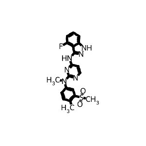 Cc1ccc(N(C)c2nccc(Nc3n[nH]c4cccc(F)c34)n2)cc1S(C)(=O)=O